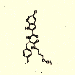 COCCCNC(=O)[C@H](Cc1ccc(F)cc1)NC(=O)c1cc2cc(Cl)cnc2[nH]1